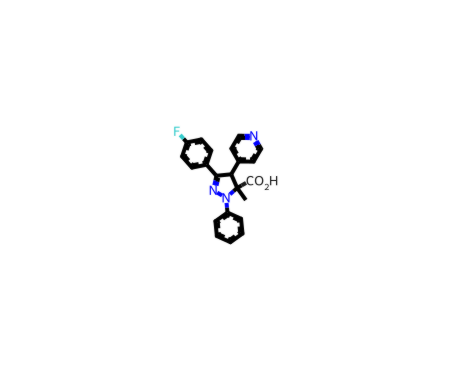 CC1(C(=O)O)C(c2ccncc2)C(c2ccc(F)cc2)=NN1c1ccccc1